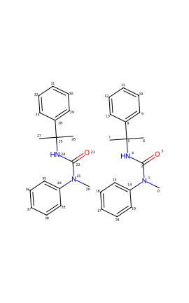 CN(C(=O)NC(C)(C)c1ccccc1)c1ccccc1.CN(C(=O)NC(C)(C)c1ccccc1)c1ccccc1